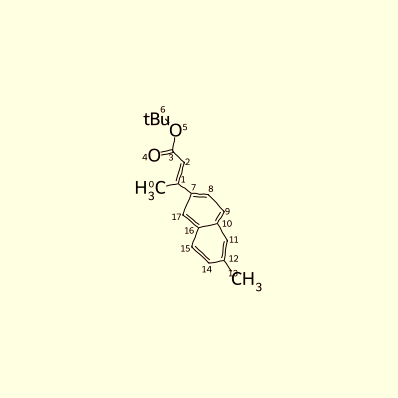 C/C(=C\C(=O)OC(C)(C)C)c1ccc2cc(C)ccc2c1